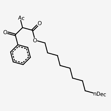 CCCCCCCCCCCCCCCCCCOC(=O)C(C(C)=O)C(=O)c1ccccc1